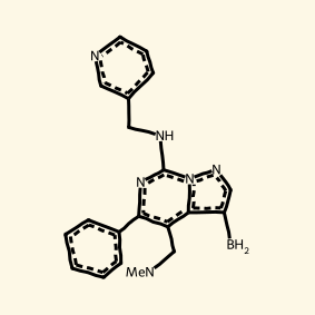 Bc1cnn2c(NCc3cccnc3)nc(-c3ccccc3)c(CNC)c12